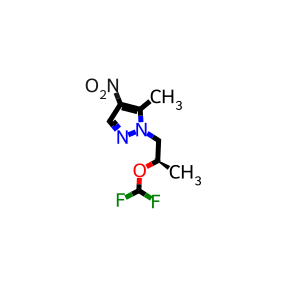 Cc1c([N+](=O)[O-])cnn1C[C@@H](C)OC(F)F